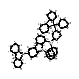 c1ccc(N(c2cccc(C3(c4ccccc4)c4ccccc4-c4ccccc43)c2)c2cccc3c4cc(-n5c6ccccc6c6ccccc65)ccc4n(-c4ccccc4)c23)cc1